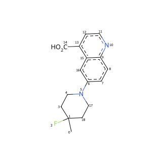 CC1(F)CCN(c2ccc3nccc(C(=O)O)c3c2)CC1